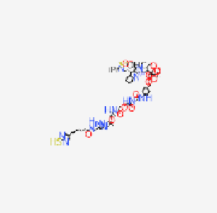 CC[C@@]1(OC(=O)OCc2ccc(NC(=O)CNC(=O)COCC(=O)NC(C)(C)COC(C)(C)Cn3cc(CNC(=O)CCCC#Cc4cnc(S)nc4)nn3)cc2)C(=O)OCC(C=O)=C1/C=C1/c2nc3ccccc3c(CCN(C(C)C)[S+](C)[O-])c2CN1C